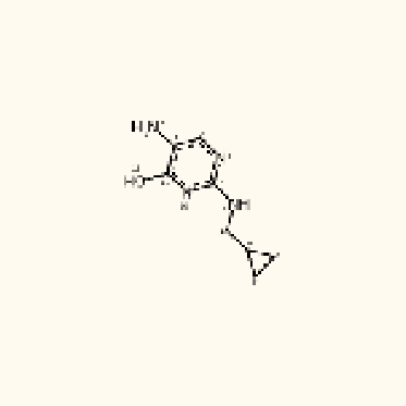 Nc1cnc(NCC2CC2)nc1O